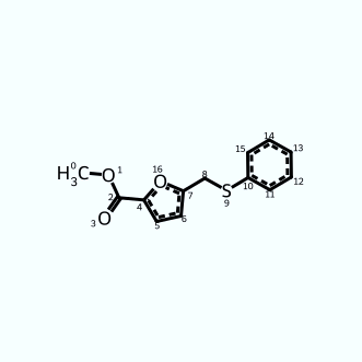 COC(=O)c1ccc(CSc2ccccc2)o1